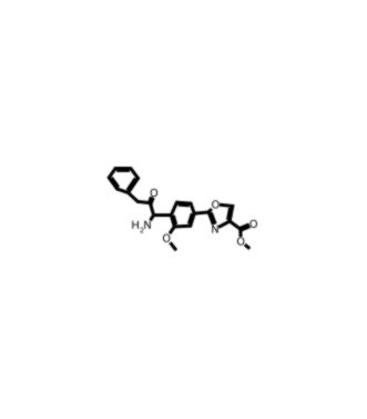 COC(=O)c1coc(-c2ccc(C(N)C(=O)Cc3ccccc3)c(OC)c2)n1